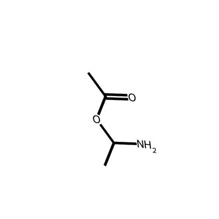 CC(=O)OC(C)N